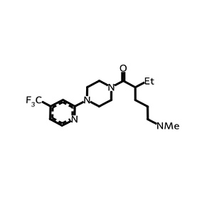 CCC(CCCNC)C(=O)N1CCN(c2cc(C(F)(F)F)ccn2)CC1